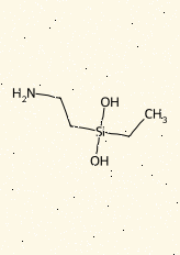 CC[Si](O)(O)CCN